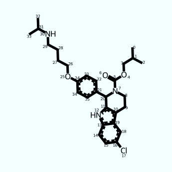 CC(C)COC(=O)N1CCc2c([nH]c3ccc(Cl)cc23)C1c1ccc(OCCCCNC(C)C)cc1